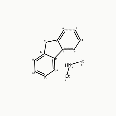 CCNCC.c1ccc2c(c1)Cc1ccccc1-2